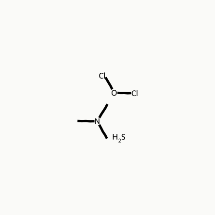 CN(C)C.ClOCl.S